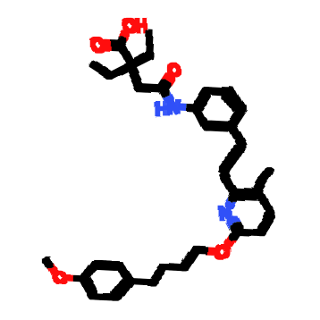 CCC(CC)(CC(=O)Nc1cccc(C=Cc2nc(OCCCCc3ccc(OC)cc3)ccc2C)c1)C(=O)O